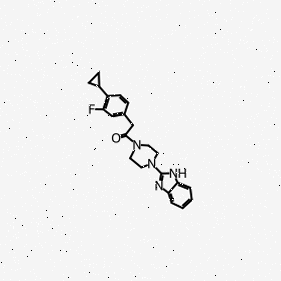 O=C(Cc1ccc(C2CC2)c(F)c1)N1CCN(c2nc3ccccc3[nH]2)CC1